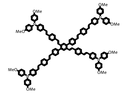 COc1ccc(N(c2ccc(/C=C/c3ccc(/C=C/c4ccc(-c5cc(/C=C/c6ccc(/C=C/c7ccc(N(c8ccc(OC)cc8)c8ccc(OC)cc8)cc7)cc6)c(-c6ccc(/C=C/c7ccc(/C=C/c8ccc(N(c9ccc(OC)cc9)c9ccc(OC)cc9)cc8)cc7)cc6)cc5/C=C/c5ccc(/C=C/c6ccc(N(c7ccc(OC)cc7)c7ccc(OC)cc7)cc6)cc5)cc4)cc3)cc2)c2ccc(OC)cc2)cc1